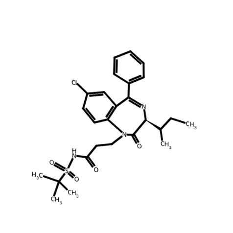 CCC(C)[C@@H]1N=C(c2ccccc2)c2cc(Cl)ccc2N(CCC(=O)NS(=O)(=O)C(C)(C)C)C1=O